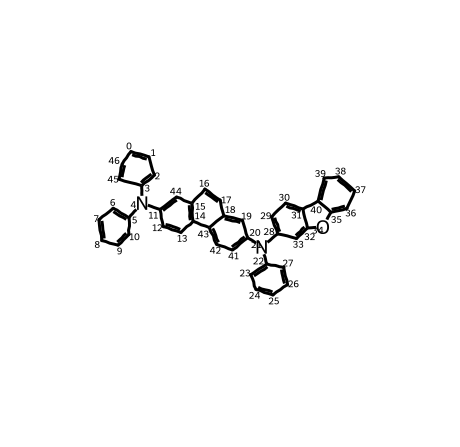 c1ccc(N(c2ccccc2)c2ccc3c(ccc4cc(N(c5ccccc5)c5ccc6c(c5)oc5ccccc56)ccc43)c2)cc1